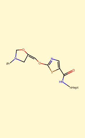 CCCCCCCNC(=O)c1cnc(OC=C2CN(C(C)C)CO2)s1